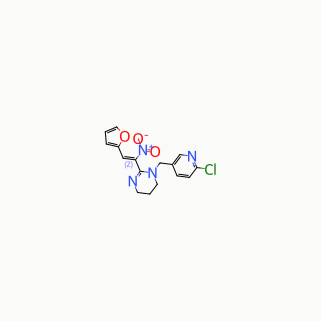 O=[N+]([O-])/C(=C\c1ccco1)C1=NCCCN1Cc1ccc(Cl)nc1